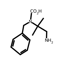 CC(C)(CN)N(Cc1ccccc1)C(=O)O